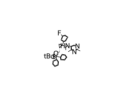 Cc1ncc(NC(C)[C@@]2(c3cccc(F)c3)C[C@H]2CO[Si](c2ccccc2)(c2ccccc2)C(C)(C)C)c(C)n1